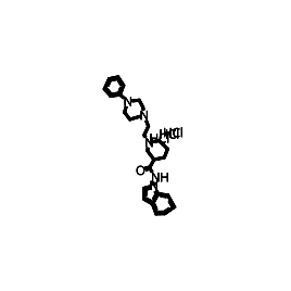 Cl.Cl.Cl.O=C(Nn1ccc2ccccc21)C1CCCN(CCN2CCN(c3ccccc3)CC2)C1